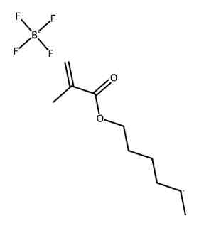 C=C(C)C(=O)OCCCC[CH]C.F[B-](F)(F)F